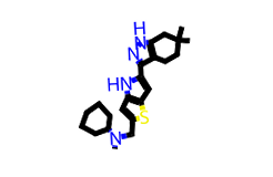 CN(Cc1cc2[nH]c(-c3n[nH]c4c3CCC(C)(C)C4)cc2s1)C1CCCCC1